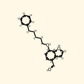 O=Cc1ccc(OCCCCCc2ccccc2)c2occc12